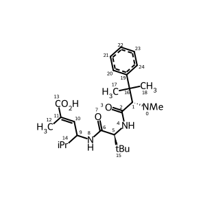 CN[C@H](C(=O)N[C@H](C(=O)NC(/C=C(\C)C(=O)O)C(C)C)C(C)(C)C)C(C)(C)c1ccccc1